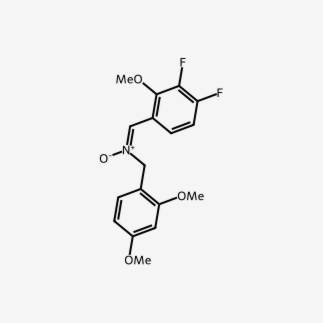 COc1ccc(C/[N+]([O-])=C\c2ccc(F)c(F)c2OC)c(OC)c1